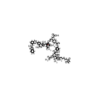 Cc1c(-c2ccc(N3CCc4cccc(CNc5nc6ccccc6s5)c4C3)nc2C(=O)O)cnn1CC12CC3(C)CC(C)(C1)CC(OCCN(CCC(=O)O)C1CCN(C(=O)OCc4ccc(NC(=O)[C@H](CCCNC(N)=O)NC(=O)[C@@H](NC(=O)CCCCCN5C(=O)C=CC5=O)C(C)C)cc4)CC1)(C3)C2